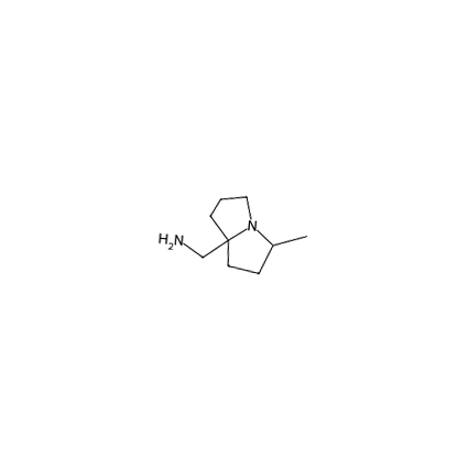 CC1CCC2(CN)CCCN12